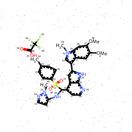 COc1cc2c(-c3cc4c(C(Nc5ccnn5C)S(=O)(=O)c5ccc(C)cc5)ccnc4[nH]3)cn(C)c2cc1OC.O=C(O)C(F)(F)F